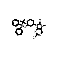 Cn1c(=O)n(C2CCCC(O[Si](c3ccccc3)(c3ccccc3)C(C)(C)C)C2)c2nc(Cl)ncc21